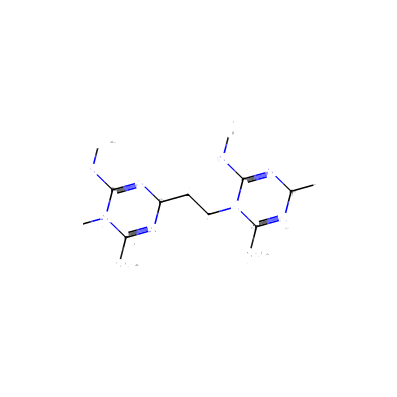 CCCCCNC1=NC(CCN2C(NC)=NC(C)N=C2NCCCC)N=C(NC)N1C